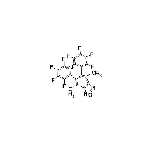 Cc1c(-c2c(F)c(F)c(F)c(F)c2F)c(-c2c(F)c(F)c(F)c(F)c2F)c(C)c2nonc12